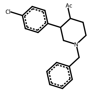 CC(=O)C1CCN(Cc2ccccc2)CC1c1ccc(Cl)cc1